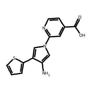 Nc1cn(-c2cc(C(=O)O)ccn2)cc1-c1cccs1